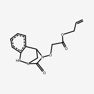 C=CCOC(=O)CON1C(=O)N2CC1c1ccccc1N2